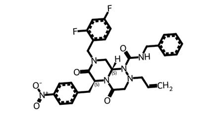 C=CCN1CC(=O)N2[C@@H](Cc3ccc([N+](=O)[O-])cc3)C(=O)N(Cc3ccc(F)cc3F)C[C@@H]2N1C(=O)NCc1ccccc1